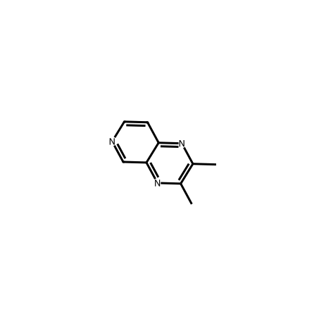 Cc1nc2ccncc2nc1C